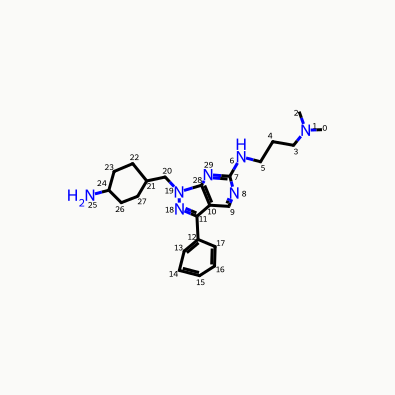 CN(C)CCCNc1ncc2c(-c3ccccc3)nn(CC3CCC(N)CC3)c2n1